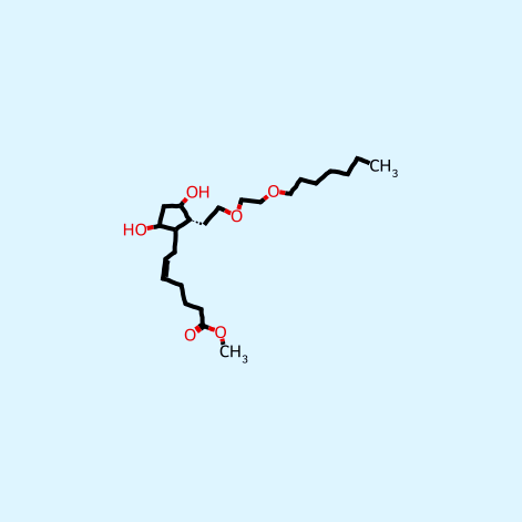 CCCCCCCOCCOCC[C@H]1C(O)CC(O)C1C/C=C\CCCC(=O)OC